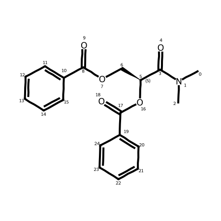 CN(C)C(=O)[C@H](COC(=O)c1ccccc1)OC(=O)c1ccccc1